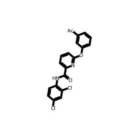 CC(=O)c1cccc(Oc2cccc(C(=O)Nc3ccc(Cl)cc3Cl)n2)c1